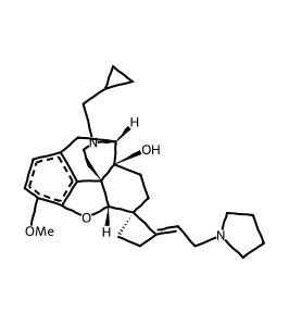 COc1ccc2c3c1O[C@H]1[C@@]4(CC/C4=C\CN4CCCC4)CC[C@@]4(O)[C@@H](C2)N(CC2CC2)CC[C@]314